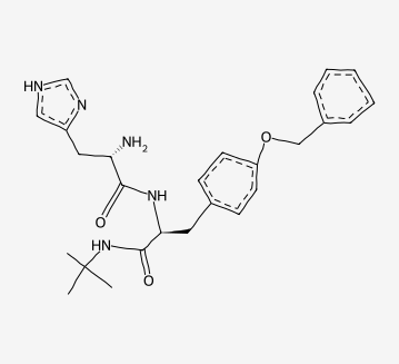 CC(C)(C)NC(=O)[C@H](Cc1ccc(OCc2ccccc2)cc1)NC(=O)[C@@H](N)Cc1c[nH]cn1